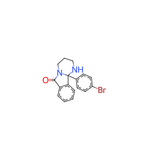 O=C1c2ccccc2C2(c3ccc(Br)cc3)NCCCN12